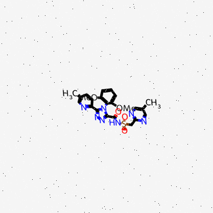 COc1cccc(OC)c1-n1c(C(=O)NS(=O)(=O)Cc2ncc(C)cn2)nnc1-c1ccc(C)cn1